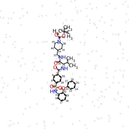 CC(C)[C@H](NC(=O)c1ccc(S(=O)(=O)Nc2ccccc2Oc2ccccc2)cc1)C(=O)NCC1CCN(C(=O)OC(C)(C)C)CC1